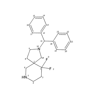 FC1(F)CCNCC12CCN(C(c1ccccc1)c1ccccc1)C2